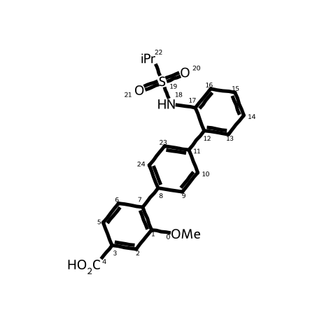 COc1cc(C(=O)O)ccc1-c1ccc(-c2ccccc2NS(=O)(=O)C(C)C)cc1